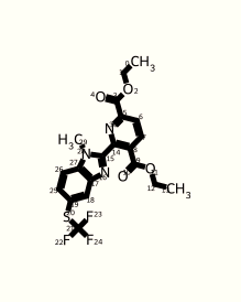 CCOC(=O)c1ccc(C(=O)OCC)c(-c2nc3cc(SC(F)(F)F)ccc3n2C)n1